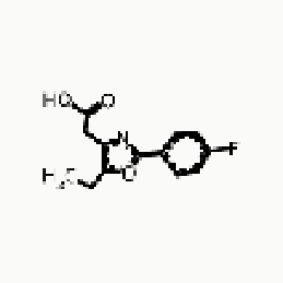 CCc1oc(-c2ccc(F)cc2)nc1CC(=O)O